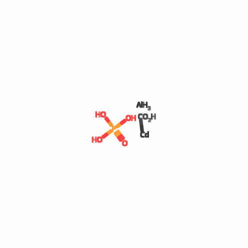 O=P(O)(O)O.O=[C](O)[Cd].[AlH3]